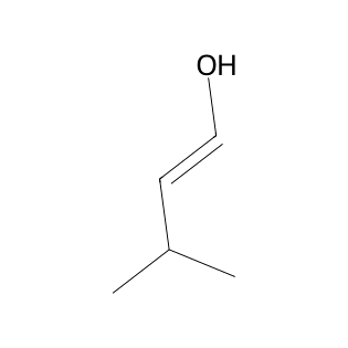 CC(C)/C=C/O